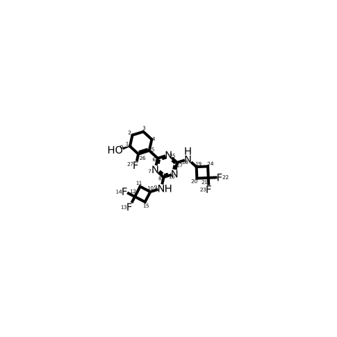 O[C@H]1CCCC(c2nc(NC3CC(F)(F)C3)nc(NC3CC(F)(F)C3)n2)=C1F